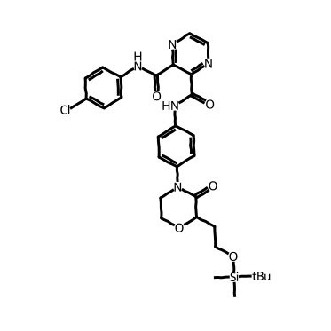 CC(C)(C)[Si](C)(C)OCCC1OCCN(c2ccc(NC(=O)c3nccnc3C(=O)Nc3ccc(Cl)cc3)cc2)C1=O